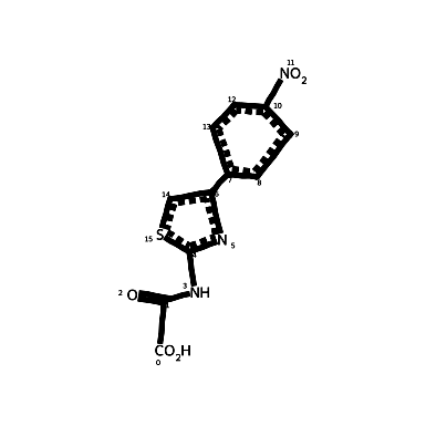 O=C(O)C(=O)Nc1nc(-c2ccc([N+](=O)[O-])cc2)cs1